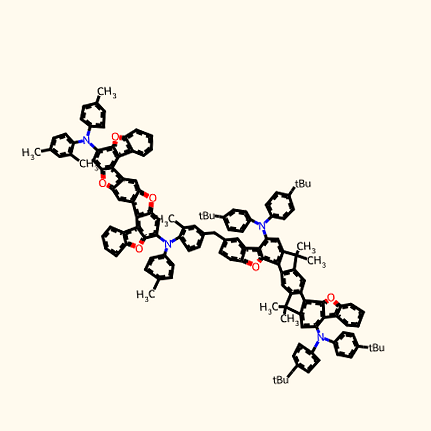 Cc1ccc(N(c2ccc(C)cc2C)c2cc3oc4cc5c(cc4c3c3c2oc2ccccc23)oc2cc(N(c3ccc(C)cc3)c3ccc(Cc4ccc6oc7c8c(cc(N(c9ccc(C(C)(C)C)cc9)c9ccc(C(C)(C)C)cc9)c7c6c4)C(C)(C)c4cc6c(cc4-8)C(C)(C)c4cc(N(c7ccc(C(C)(C)C)cc7)c7ccc(C(C)(C)C)cc7)c7c(oc8ccccc87)c4-6)cc3C)c3oc4ccccc4c3c25)cc1